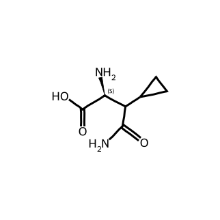 NC(=O)C(C1CC1)[C@H](N)C(=O)O